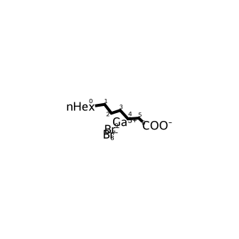 CCCCCCCCCCCC(=O)[O-].[Br-].[Br-].[Ga+3]